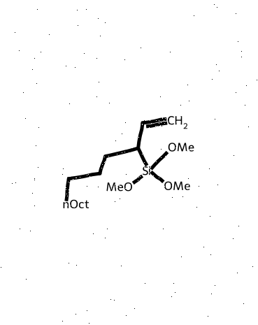 C=CC(CCCCCCCCCCC)[Si](OC)(OC)OC